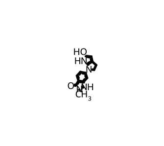 Cn1[nH]c2cc(N3CCc4cc(O)[nH]c43)ccc2c1=O